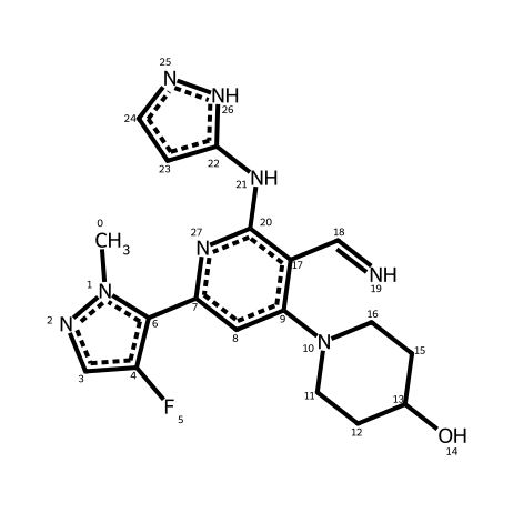 Cn1ncc(F)c1-c1cc(N2CCC(O)CC2)c(C=N)c(Nc2ccn[nH]2)n1